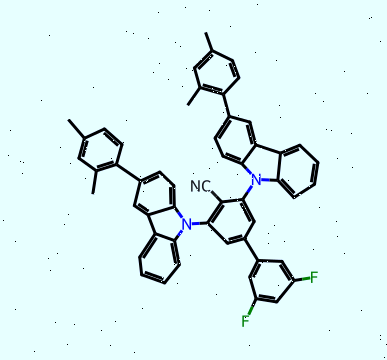 Cc1ccc(-c2ccc3c(c2)c2ccccc2n3-c2cc(-c3cc(F)cc(F)c3)cc(-n3c4ccccc4c4cc(-c5ccc(C)cc5C)ccc43)c2C#N)c(C)c1